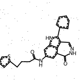 O=C(CCCc1cccs1)Nc1cc2c3c(c(-c4ccccc4)[nH]c3c1)C=NNC2=O